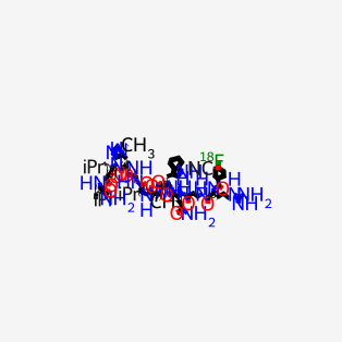 CC(C)C[C@H](NC(=O)C[C@H](O)[C@H](CC(C)C)NC(=O)[C@H](Cc1cncn1C)NC(=O)CNC(=O)[C@@H](NC(=O)[C@H](C)NC(=O)[C@H](Cc1c[nH]c2ccccc12)NC(=O)[C@H](CCC(N)=O)NC(=O)CCNC(=O)[C@H](CCCNC(=N)N)NC(=O)c1ccc([18F])c(C#N)c1)C(C)C)C(N)=O